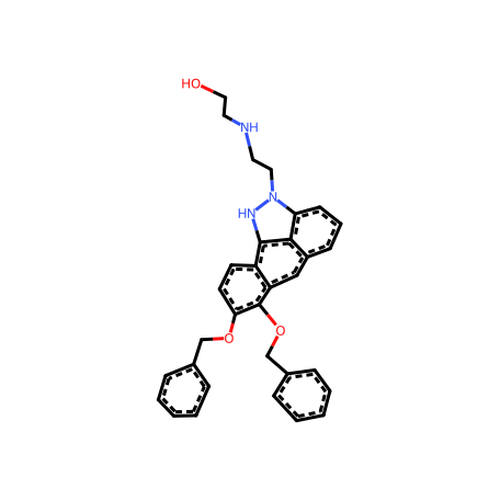 OCCNCCN1Nc2c3ccc(OCc4ccccc4)c(OCc4ccccc4)c3cc3cccc1c23